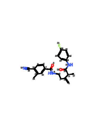 C=C(CCNC(=O)c1ccc(C#N)c(C)c1)[C@H](C)C(=O)Nc1ccc(F)cc1